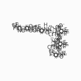 CCCN(CCCl)c1c([N+](=O)[O-])cc(C(F)(F)F)cc1[N+](=O)[O-].CCCN(CCCl)c1c([N+](=O)[O-])cc(C(F)(F)F)cc1[N+](=O)[O-].CN(C)C(=O)Nc1cccc(C(F)(F)F)c1.CN(C)C(=O)Nc1cccc(C(F)(F)F)c1.C[C@@H](Oc1ccc(Oc2ccc(C(F)(F)F)cn2)cc1)C(=O)O